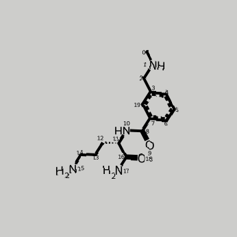 CNCc1cccc(C(=O)N[C@@H](CCCN)C(N)=O)c1